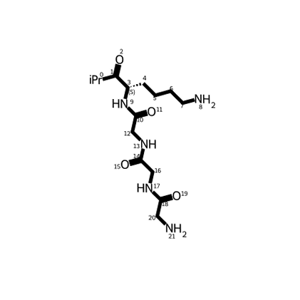 CC(C)C(=O)[C@H](CCCCN)NC(=O)CNC(=O)CNC(=O)CN